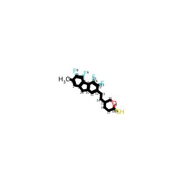 Cc1cc2c(c(F)c1F)-c1c(cc(CCC3CCC(S)OC3)c(F)c1F)C2